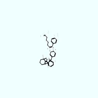 O=C(O)CCCCc1nc2cc(C(=O)N3C[C@H]4CCC[C@@H](C3)[C@@H]4c3ccccc3)ccc2nc1-c1ccc(Cl)cc1